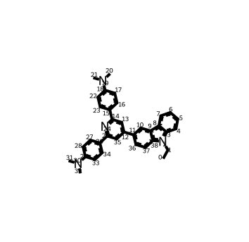 CCn1c2ccccc2c2cc(-c3cc(-c4ccc(N(C)C)cc4)nc(-c4ccc(N(C)C)cc4)c3)ccc21